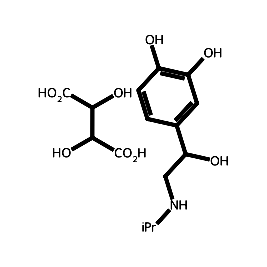 CC(C)NCC(O)c1ccc(O)c(O)c1.O=C(O)C(O)C(O)C(=O)O